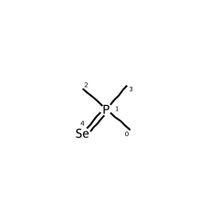 CP(C)(C)=[Se]